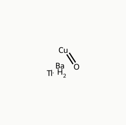 [BaH2].[O]=[Cu].[Tl]